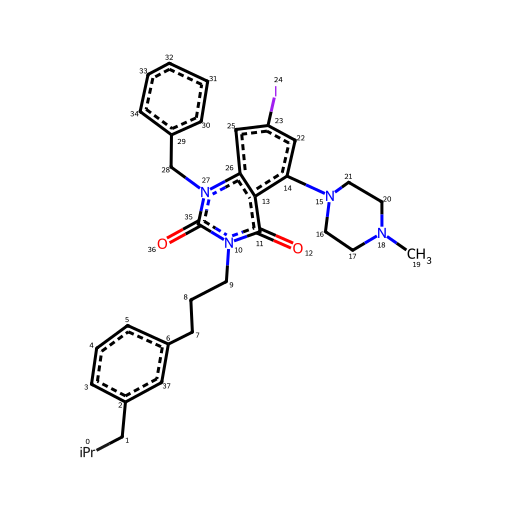 CC(C)Cc1cccc(CCCn2c(=O)c3c(N4CCN(C)CC4)cc(I)cc3n(Cc3ccccc3)c2=O)c1